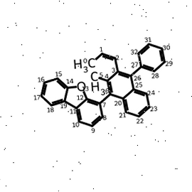 C/C=C\c1c(C)c(-c2cccc3c2oc2ccccc23)c2ccccc2c1-c1ccccc1